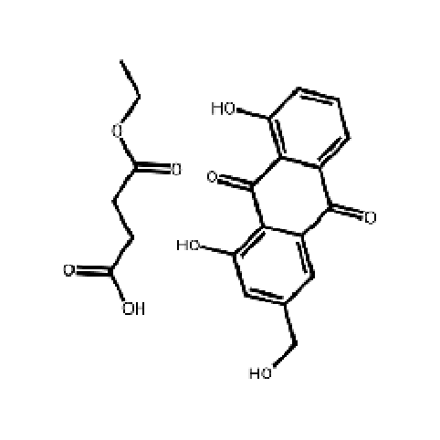 CCOC(=O)CCC(=O)O.O=C1c2cccc(O)c2C(=O)c2c(O)cc(CO)cc21